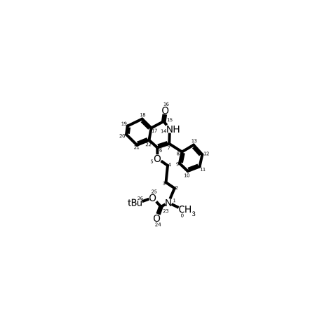 CN(CCCOc1c(-c2ccccc2)[nH]c(=O)c2ccccc12)C(=O)OC(C)(C)C